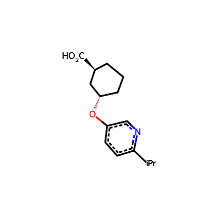 CC(C)c1ccc(O[C@H]2CCC[C@H](C(=O)O)C2)cn1